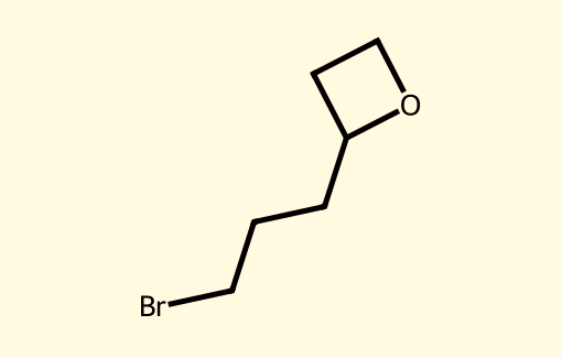 BrCCCC1CCO1